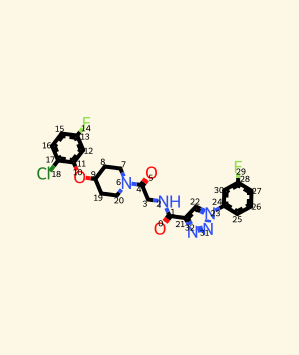 O=C(NCC(=O)N1CCC(Oc2cc(F)ccc2Cl)CC1)c1cn(-c2cccc(F)c2)nn1